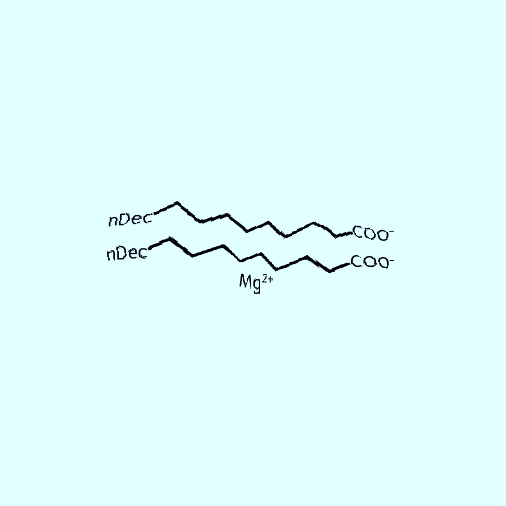 CCCCCCCCCCCCCCCCCCC(=O)[O-].CCCCCCCCCCCCCCCCCCC(=O)[O-].[Mg+2]